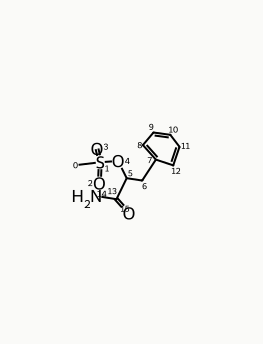 CS(=O)(=O)OC(Cc1ccccc1)C(N)=O